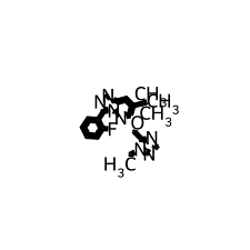 CCn1ncnc1COc1nn2c(-c3ccccc3F)nnc2cc1C(C)(C)C